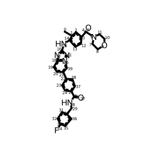 Cc1cc(C(=O)N2CCOCC2)ccc1Nc1nc2ccc(-c3ccc(C(=O)NCc4ccc(F)cc4)cc3)cn2n1